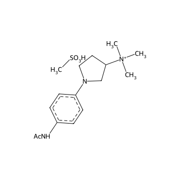 CC(=O)Nc1ccc(N2CCC([N+](C)(C)C)C2)cc1.CS(=O)(=O)O